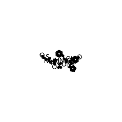 COCc1nc(CN2CCN([C@H](C(=O)N[C@@H](Cc3ccccc3)[C@@H](O)CN(CC3CCCC3)S(=O)(=O)c3ccc(OC)cc3)C(C)C)C2=O)cs1